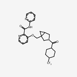 O=C(Nc1ccccn1)c1ncccc1OCC12CC1CN(C(=O)C1CCC(C(F)(F)F)CC1)C2